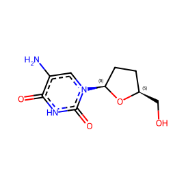 Nc1cn([C@H]2CC[C@@H](CO)O2)c(=O)[nH]c1=O